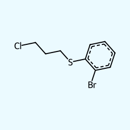 ClCCCSc1ccccc1Br